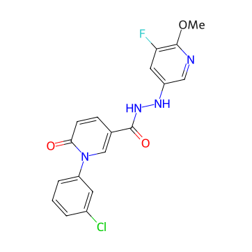 COc1ncc(NNC(=O)c2ccc(=O)n(-c3cccc(Cl)c3)c2)cc1F